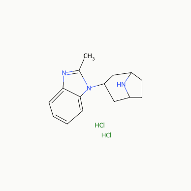 Cc1nc2ccccc2n1C1CC2CCC(C1)N2.Cl.Cl